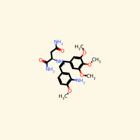 COc1ccc(/C=C\c2cc(OC)c(OC)c(OC)c2)cc1N.NC(=O)C[C@@H](N)C(N)=O